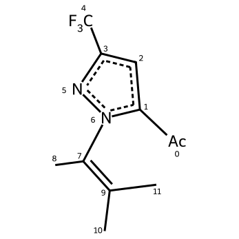 CC(=O)c1cc(C(F)(F)F)nn1C(C)=C(C)C